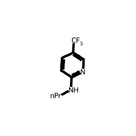 [CH2]CCNc1ccc(C(F)(F)F)cn1